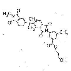 Cc1cc(C(=O)OCCCO)cc(N2C(=O)c3ccc(C(C)(c4ccc5c(c4)C(=O)N(C)C5=O)C(F)(F)F)cc3C2=O)c1